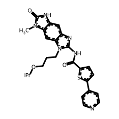 CC(C)OCCCn1c(NC(=O)c2ccc(-c3ccncc3)s2)nc2cc3[nH]c(=O)n(C)c3cc21